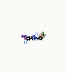 O=c1[nH]c2ccc(-c3cnc(NCc4cccc(OC(F)(F)F)c4)nc3)cc2[nH]1